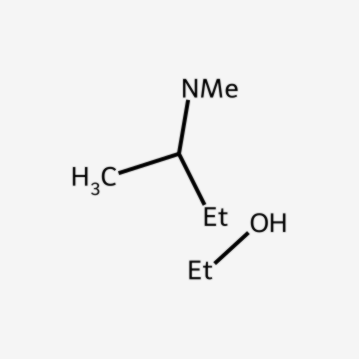 CCC(C)NC.CCO